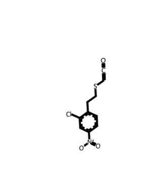 O=C=CSCCc1ccc([N+](=O)[O-])cc1Cl